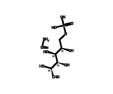 CON.O=C[C@H](O)[C@@H](O)[C@@H](O)[C@H](O)COP(=O)(O)O